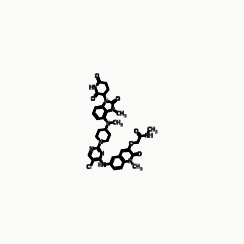 CNC(=O)COc1cc2cc(Nc3nc(N4CCC(N(C)c5cccc6c5n(C)c(=O)n6C5CCC(=O)NC5=O)CC4)ncc3Cl)ccc2n(C)c1=O